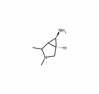 CC1C2[C@@H](N)[C@H]2CN1C